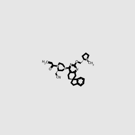 C=CC(=O)N1CCN(c2nc(OC[C@@H]3CCCN3C)nc3c2CC[C@@]2(CCc4ccccc42)C3)C[C@@H]1CC#N